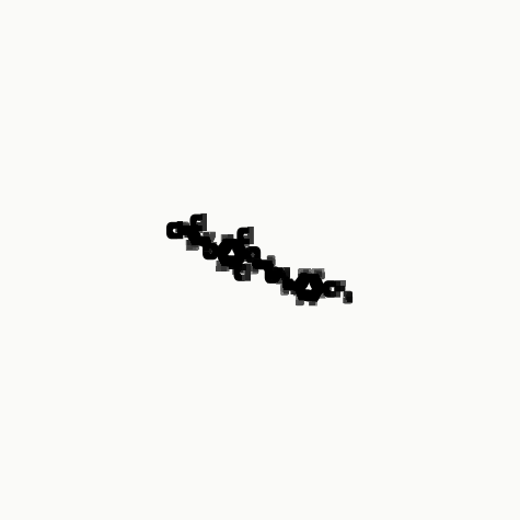 FC(F)(F)c1ccc(/C=N/OCCOc2c(Cl)cc(OCC=C(Cl)Cl)cc2Cl)cc1